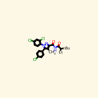 CCCCC(CC)C(=O)NC(=O)c1nn(-c2ccc(Cl)cc2Cl)c(-c2ccc(Cl)cc2)c1C